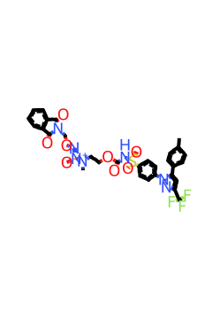 Cc1ccc(-c2cc(C(F)(F)F)nn2-c2ccc(S(=O)(=O)NC(=O)OCCN(C)/[N+]([O-])=N/OCN3C(=O)c4ccccc4C3=O)cc2)cc1